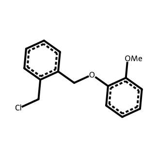 COc1ccccc1OCc1ccccc1CCl